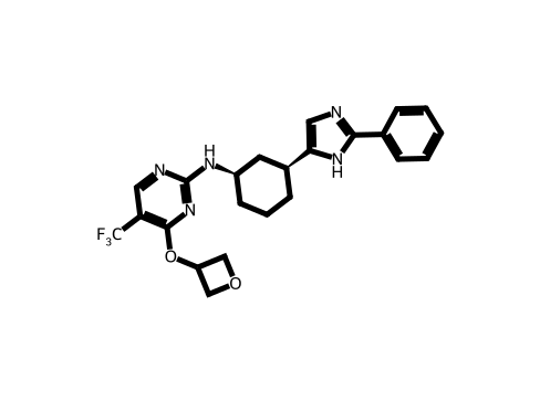 FC(F)(F)c1cnc(N[C@@H]2CCC[C@H](c3cnc(-c4ccccc4)[nH]3)C2)nc1OC1COC1